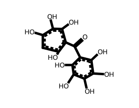 O=C(c1c(O)cc(O)c(O)c1O)c1c(O)c(O)c(O)c(O)c1O